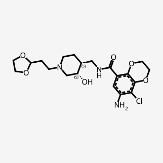 Nc1cc(C(=O)NC[C@@H]2CCN(CCC3OCCO3)C[C@H]2O)c2c(c1Cl)OCCO2